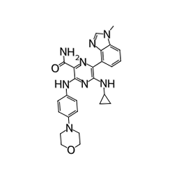 Cn1cnc2c(-c3nc(C(N)=O)c(Nc4ccc(N5CCOCC5)cc4)nc3NC3CC3)cccc21